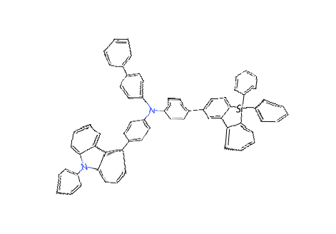 c1ccc(-c2ccc(N(c3ccc(-c4ccc5c(c4)-c4ccccc4[Si]5(c4ccccc4)c4ccccc4)cc3)c3ccc(-c4cccc5c4c4ccccc4n5-c4ccccc4)cc3)cc2)cc1